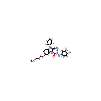 CCCCOc1ccc2c(c1)c(C(=O)NCc1ccc(F)c(F)c1)c(C)n2-c1ccccc1